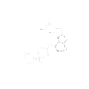 CC[C@]1(N2CCOCC2)CC[C@H](Oc2ccnc3sc4c(c23)[C@@H](C[C@@H](C)O)CC4)CC1